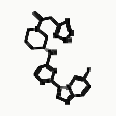 C=C(Cc1nn[nH]n1)N1CCC[C@@H](Nc2ccnc(-c3cnc4ccc(F)cn34)n2)C1